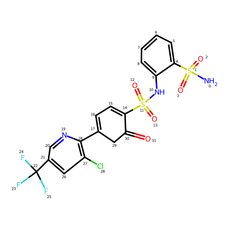 NS(=O)(=O)c1ccccc1NS(=O)(=O)C1=CC=C(c2ncc(C(F)(F)F)cc2Cl)CC1=O